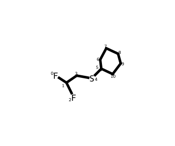 FC(F)CS[C]1CCCCC1